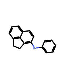 c1ccc(Nc2ccc3cccc4c3c2CC4)cc1